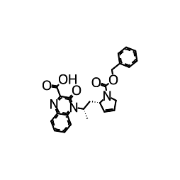 C[C@@H](C[C@H]1C=CCN1C(=O)OCc1ccccc1)n1c(=O)c(C(=O)O)nc2ccccc21